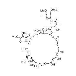 CCCCC(C(=O)OC)C(=O)O[C@@H]1CCC[C@H](O)[C@@H]2O[C@H]2[C@H](C)[C@@H]([C@@H](C)[C@@H](O)[C@H](C)[C@@H](O)[C@@H](C)[C@H](C)O[C@H]2C[C@H](OC)[C@H](OC)[C@H](C)O2)OC(=O)/C=C/C[C@H](O)C[C@H](O)C[C@@H](O)CC[C@@H](C)[C@H](O)C[C@]2(O)O[C@H](C[C@@H](O)C1)C[C@H](O)[C@H]2O